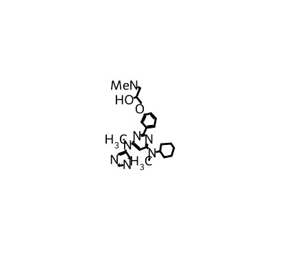 CNCC(O)COc1cccc(-c2nc(N(C)c3cncnc3)cc(N(C)C3CCCCC3)n2)c1